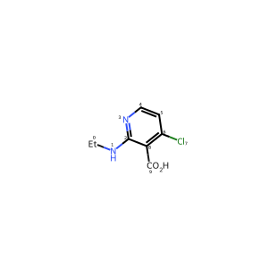 CCNc1nccc(Cl)c1C(=O)O